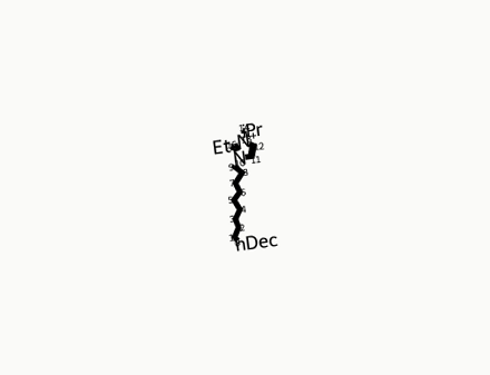 CCCCCCCCCCCCCCCCCCCn1cc[n+](C(C)C)c1CC